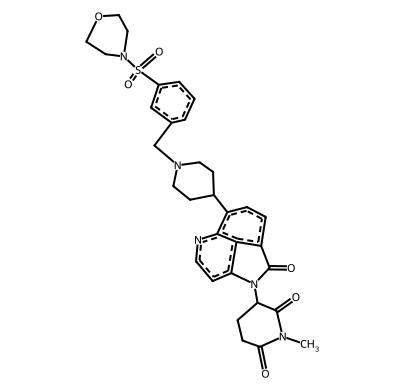 CN1C(=O)CCC(N2C(=O)c3ccc(C4CCN(Cc5cccc(S(=O)(=O)N6CCOCC6)c5)CC4)c4nccc2c34)C1=O